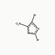 O=[N+]([O-])c1cn(Br)nc1Br